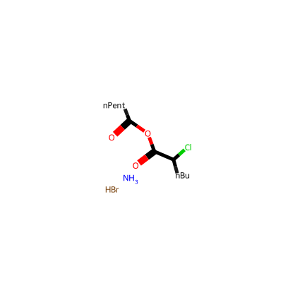 Br.CCCCCC(=O)OC(=O)C(Cl)CCCC.N